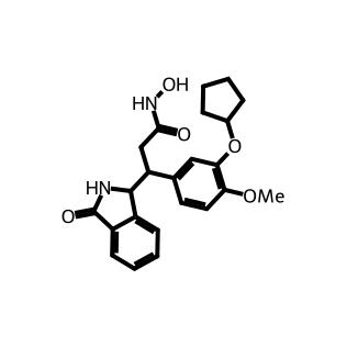 COc1ccc(C(CC(=O)NO)C2NC(=O)c3ccccc32)cc1OC1CCCC1